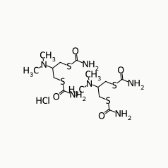 CN(C)C(CSC(N)=O)CSC(N)=O.CN(C)C(CSC(N)=O)CSC(N)=O.Cl